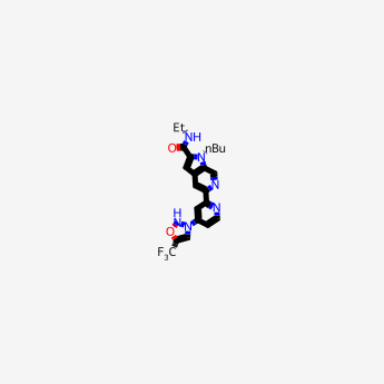 CCCCn1c(C(=O)NCC)cc2cc(-c3cc(N4C=C(C(F)(F)F)ON4)ccn3)ncc21